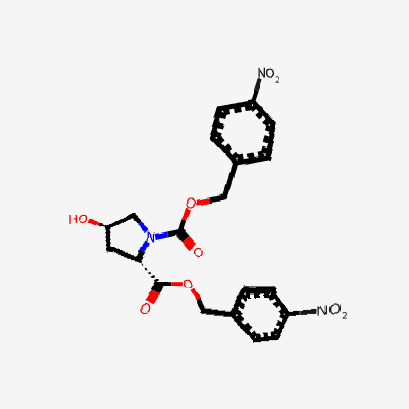 O=C(OCc1ccc([N+](=O)[O-])cc1)[C@@H]1C[C@@H](O)CN1C(=O)OCc1ccc([N+](=O)[O-])cc1